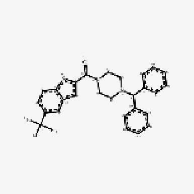 CC(F)(F)c1ccc2sc(C(=O)N3CCN(C(c4ccccc4)c4ccccc4)CC3)cc2c1